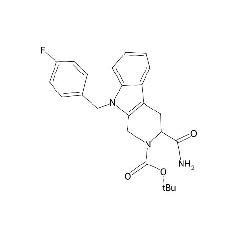 CC(C)(C)OC(=O)N1Cc2c(c3ccccc3n2Cc2ccc(F)cc2)CC1C(N)=O